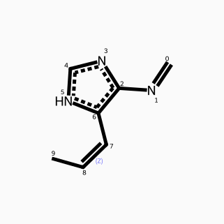 C=Nc1nc[nH]c1/C=C\C